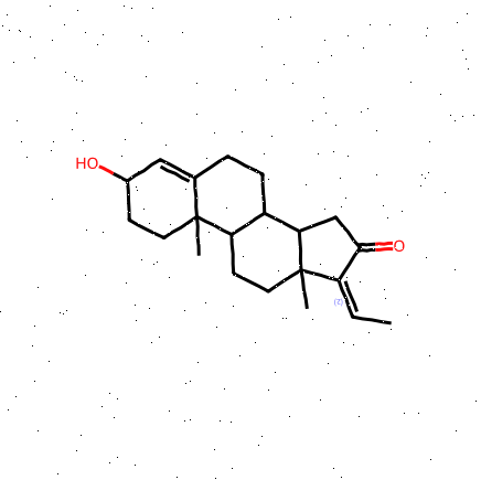 C/C=C1\C(=O)CC2C3CCC4=CC(O)CCC4(C)C3CCC12C